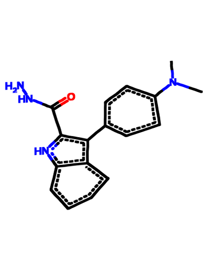 CN(C)c1ccc(-c2c(C(=O)NN)[nH]c3ccccc23)cc1